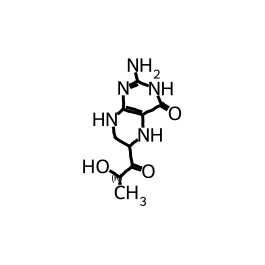 C[C@@H](O)C(=O)C1CNc2nc(N)[nH]c(=O)c2N1